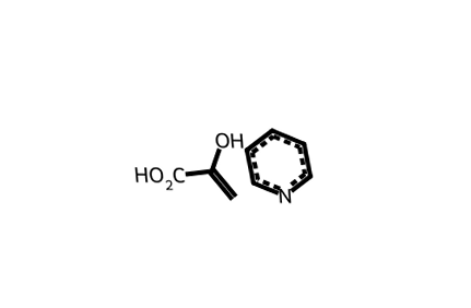 C=C(O)C(=O)O.c1ccncc1